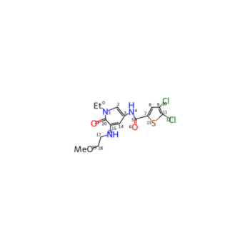 CCn1cc(NC(=O)c2cc(Cl)c(Cl)s2)cc(NCCOC)c1=O